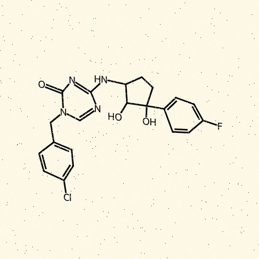 O=c1nc(NC2CCC(O)(c3ccc(F)cc3)C2O)ncn1Cc1ccc(Cl)cc1